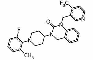 Cc1cccc(F)c1N1CCC(N2Cc3ccccc3N(Cc3cnccc3C(F)(F)F)C2=O)CC1